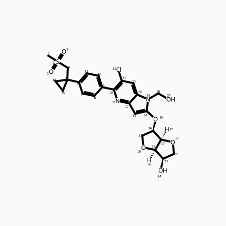 CS(=O)(=O)CC1(c2ccc(-c3nc4cc(O[C@@H]5CO[C@H]6[C@@H]5OC[C@H]6O)n(CO)c4cc3Cl)cc2)CC1